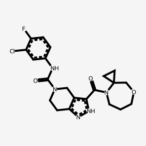 O=C(Nc1ccc(F)c(Cl)c1)N1CCc2n[nH]c(C(=O)N3CCCOCC34CC4)c2C1